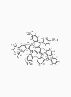 CC(C)(C)c1ccc(N2c3ccc(C(C)(C)C)cc3B3c4oc5cc6c(cc5c4N(c4ccc(C(C)(C)C)cc4)c4cc(N(c5ccccc5)c5cccc7c5oc5ccccc57)cc2c43)C(C)(C)CCC6(C)C)cc1